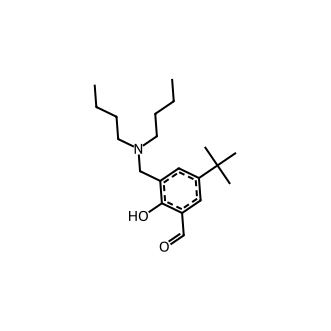 CCCCN(CCCC)Cc1cc(C(C)(C)C)cc(C=O)c1O